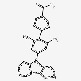 Cc1cc(-n2c3ccccc3c3cnccc32)cc(C)c1-c1ccc(C(=O)C(F)(F)F)cc1